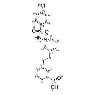 O=C(O)c1cccc(CCc2cccc(NS(=O)(=O)c3ccc(Cl)cc3)c2)c1